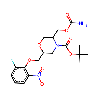 CC(C)(C)OC(=O)N1CC(COc2c(F)cccc2[N+](=O)[O-])OCC1COC(N)=O